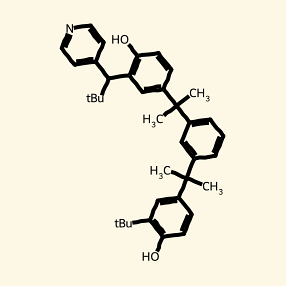 CC(C)(C)c1cc(C(C)(C)c2cccc(C(C)(C)c3ccc(O)c(C(c4ccncc4)C(C)(C)C)c3)c2)ccc1O